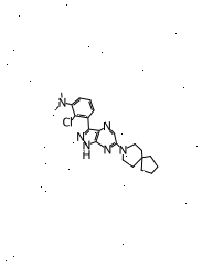 CN(C)c1cccc(-c2n[nH]c3nc(N4CCC5(CCCC5)CC4)cnc23)c1Cl